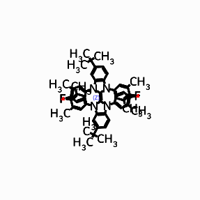 Cc1cc(N2/C(=C3\N(c4cc(C)c(F)c(C)c4)c4ccc(C(C)(C)C)cc4N3c3ccc(F)c(C)c3)N(c3cc(C)c(F)c(C)c3)c3cc(C(C)(C)C)ccc32)ccc1F